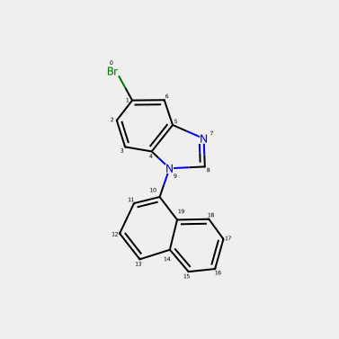 Brc1ccc2c(c1)ncn2-c1cccc2ccccc12